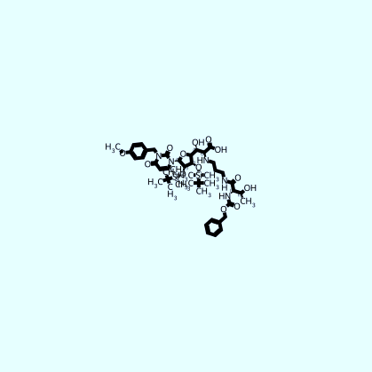 COc1ccc(Cn2c(=O)ccn([C@@H]3OC([C@H](O)[C@H](NCCCNC(=O)[C@@H](NC(=O)OCc4ccccc4)[C@H](C)O)C(=O)O)[C@@H](O[Si](C)(C)C(C)(C)C)[C@H]3O[Si](C)(C)C(C)(C)C)c2=O)cc1